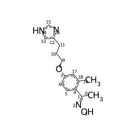 C/C(=N\O)c1ccc(OCCCc2c[nH]cn2)cc1C